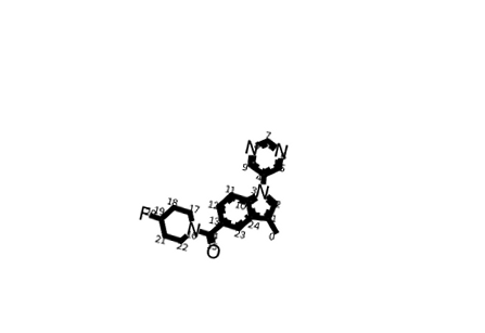 Cc1cn(-c2cncnc2)c2ccc(C(=O)N3CCC(F)CC3)cc12